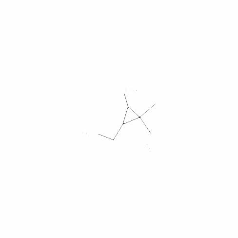 CCCCCCC1C(CC(=O)[O-])C1(C)C.[Na+]